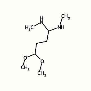 CNC(CCC(OC)OC)NC